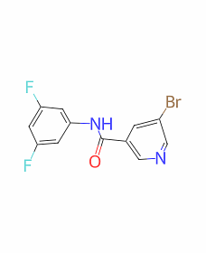 O=C(Nc1cc(F)cc(F)c1)c1cncc(Br)c1